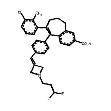 O=C(O)c1ccc2c(c1)CCCC(c1cccc(Cl)c1C(F)(F)F)=C2c1ccc(C=C2CN(CCC(F)F)C2)cc1